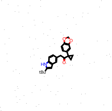 CC(C)(C)c1cc2cc(CC(=O)C3(c4ccc5c(c4)OCO5)CC3)ccc2[nH]1